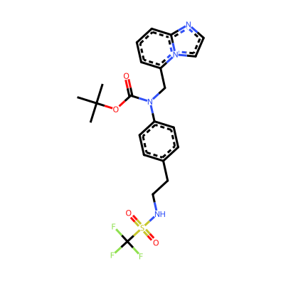 CC(C)(C)OC(=O)N(Cc1cccc2nccn12)c1ccc(CCNS(=O)(=O)C(F)(F)F)cc1